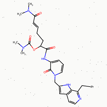 CC(C)Cc1nccc2cc(Cn3cccc(NC(=O)C(CC/C=C/C(=O)N(C)C)OC(=O)N(C)C)c3=O)[nH]c12